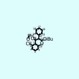 Cc1cccc(Cl)c1C(=O)C(C(=O)OCC(C)C)c1ccccc1.O=[PH3]